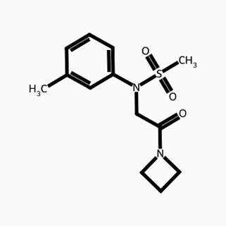 Cc1cccc(N(CC(=O)N2CCC2)S(C)(=O)=O)c1